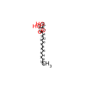 CCCCCCCCCCCCCCCC(=O)OC(CO)CO